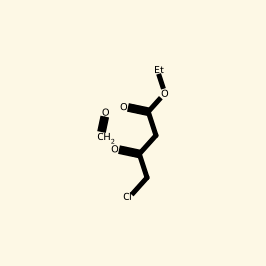 C=O.CCOC(=O)CC(=O)CCl